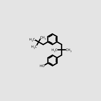 CC(C)(C)Cc1cccc(CC(C)(C)Cc2ccc(O)cc2)c1